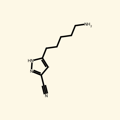 N#Cc1[c]c(CCCCCN)[nH]n1